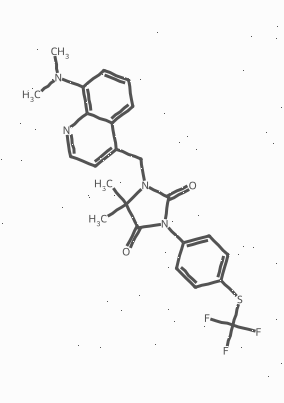 CN(C)c1cccc2c(CN3C(=O)N(c4ccc(SC(F)(F)F)cc4)C(=O)C3(C)C)ccnc12